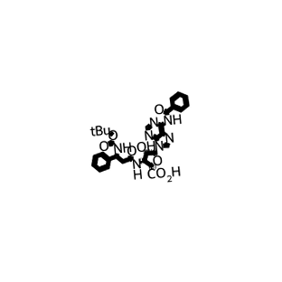 CC(C)(C)OC(=O)NC(CC(=O)N[C@H]1[C@@H](O)[C@@H](n2cnc3c(NC(=O)c4ccccc4)ncnc32)O[C@@H]1C(=O)O)c1ccccc1